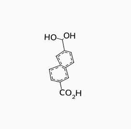 O=C(O)c1ccc2cc(C(O)O)ccc2c1